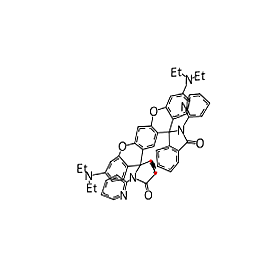 CCN(CC)c1ccc2c(c1)Oc1cc3c(cc1C21c2ccccc2C(=O)N1c1ccccn1)C1(c2ccc(N(CC)CC)cc2O3)c2ccccc2C(=O)N1c1ccccn1